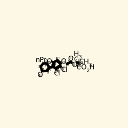 CCC[C@@]12CCC(=O)C=C1c1c(cc(OCC(=O)OC(C)(C)C(=O)O)c(Cl)c1Cl)O2